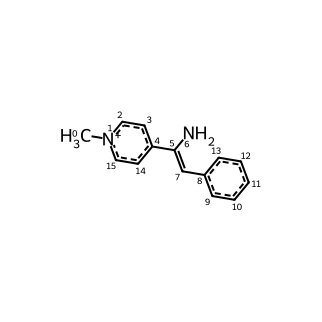 C[n+]1ccc(C(N)=Cc2ccccc2)cc1